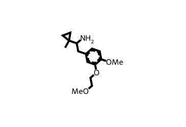 COCCOc1cc(CC(N)C2(C)CC2)ccc1OC